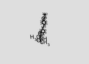 CC(=O)N[C@H](C)[C@@H]1CC2=CCC(CCc3ccc(OCC4CC4)cc3)C=C2O1